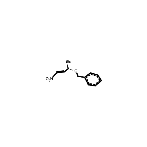 CC[C@H](C)[C@@H](C=C[N+](=O)[O-])OCc1ccccc1